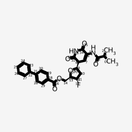 CC(C)C(=O)NC1=CC([C@H]2C[C@H](F)[C@@H](COC(=O)c3ccc(-c4ccccc4)cc3)O2)C(=O)NC1=O